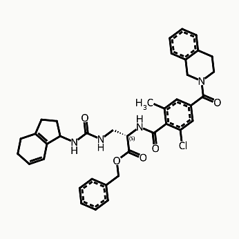 Cc1cc(C(=O)N2CCc3ccccc3C2)cc(Cl)c1C(=O)N[C@@H](CNC(=O)NC1CCC2=C1C=CCC2)C(=O)OCc1ccccc1